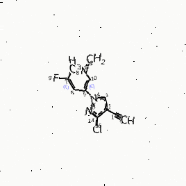 C#Cc1cn(C(/C=C(\C)F)=C/N=C)nc1Cl